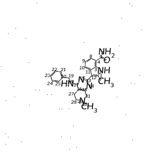 Cc1[nH]c2c(C(N)=O)cccc2c1-c1nc2c(c(NCc3ccccc3)n1)CCN(C)C2